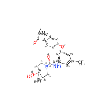 CNC(=O)c1ccc(Oc2cc(NC(=O)N3CCC(O)(C(C)C)CC3)cc(C(F)(F)F)c2)cc1